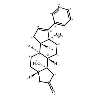 C[C@]12CC(=O)C[C@@H]1CC[C@@H]1[C@@H]2CC[C@]2(C)C(c3cccnc3)=CC[C@@H]12